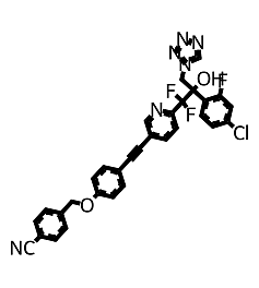 N#Cc1ccc(COc2ccc(C#Cc3ccc(C(F)(F)C(O)(Cn4cnnn4)c4ccc(Cl)cc4F)nc3)cc2)cc1